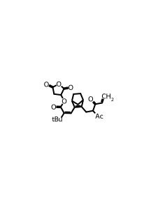 C=CC(=O)C(CC1=C(C=C(C(=O)OC2CC(=O)OC2=O)C(C)(C)C)C2CCC1C2)C(C)=O